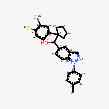 Cc1ccc(-n2ncc3cc(C(O)C4(c5ccc(F)c(Cl)c5)CCCC4)ccc32)cc1